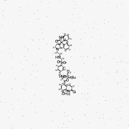 CC(C)(C)[Si](C)(C)O[C@@H](CNCc1ccc(S(=O)(=O)CNCCN2CC[C@@H](C(C(N)=O)(c3ccccc3)c3ccccc3)C2)cc1)c1ccc(O)c2[nH]c(=O)ccc12